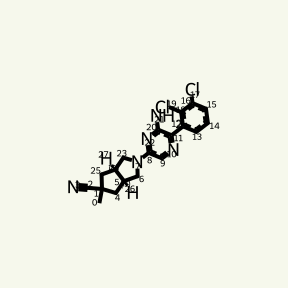 CC1(C#N)C[C@H]2CN(c3cnc(-c4cccc(Cl)c4Cl)c(N)n3)C[C@H]2C1